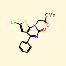 COC(=O)Cn1c(=O)nc(-c2ccccc2)c2cc(Cl)sc21